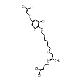 CC(COCCCCCCOc1c(Cl)cc(OCC=C(Cl)Cl)cc1Cl)=NOCC=C(Cl)Cl